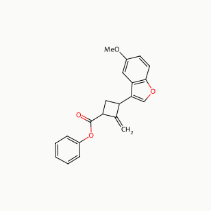 C=C1C(C(=O)Oc2ccccc2)CC1c1coc2ccc(OC)cc12